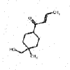 CC=CC(=O)C1CCC(C)(CO)CC1